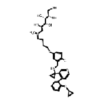 CN(CCCCSc1ccc(Cl)c(CNC2(c3cnccc3-c3ccccc3OC3CC3)CC2)c1)C[C@@H](O)[C@@H](O)[C@H](O)[C@@H](O)CO